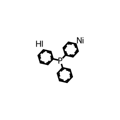 I.[Ni].c1ccc(P(c2ccccc2)c2ccccc2)cc1